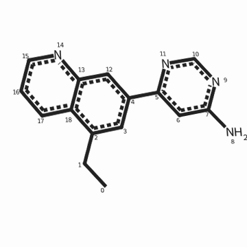 CCc1cc(-c2cc(N)ncn2)cc2ncccc12